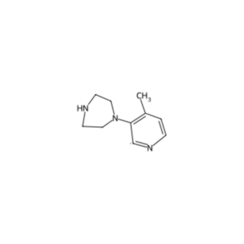 Cc1ccn[c]c1N1CCNCC1